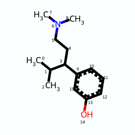 CC(C)C(CCN(C)C)c1cccc(O)c1